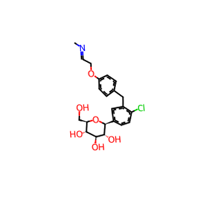 CN=CCOc1ccc(Cc2cc([C@@H]3O[C@H](CO)[C@@H](O)[C@H](O)[C@H]3O)ccc2Cl)cc1